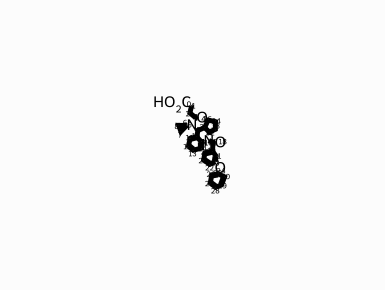 O=C(O)CCC(=O)N(C1CC1)C1c2ccccc2N(C(=O)c2cccc(Oc3ccccc3)c2)C2CCCC21